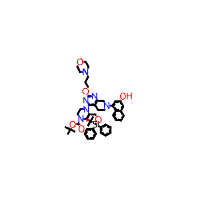 CC(C)(C)OC(=O)N1CCN(c2nc(OCCCN3CCOCC3)nc3c2CCN(c2cc(O)cc4ccccc24)C3)C(CO[Si](c2ccccc2)(c2ccccc2)C(C)(C)C)C1